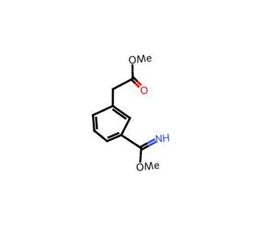 COC(=N)c1cccc(CC(=O)OC)c1